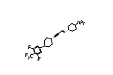 CCC[C@H]1CC[C@H](C=CC#C[C@H]2CC[C@H](c3cc(F)c(C(F)(F)F)c(F)c3)CC2)CC1